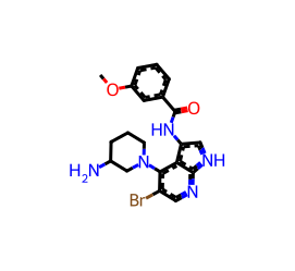 COc1cccc(C(=O)Nc2c[nH]c3ncc(Br)c(N4CCCC(N)C4)c23)c1